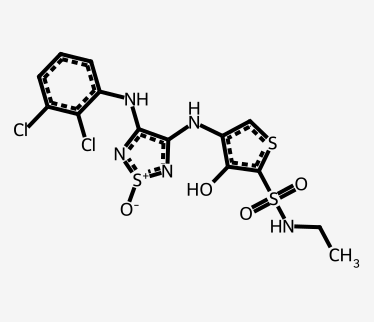 CCNS(=O)(=O)c1scc(Nc2n[s+]([O-])nc2Nc2cccc(Cl)c2Cl)c1O